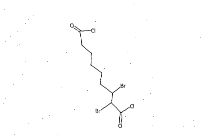 O=C(Cl)CCCCCC(Br)C(Br)C(=O)Cl